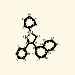 c1ccc(C2=NN(c3ccccc3)CC2c2cccc3ccccc23)cc1